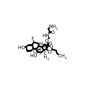 CCCC1O[C@@H]2CC3[C@@H]4C[C@H](F)C5=CC(O)C=C[C@]5(C)[C@@]4(F)[C@@H](O)C[C@]3(C)[C@]2(C(=O)COCNC(=O)CN)O1